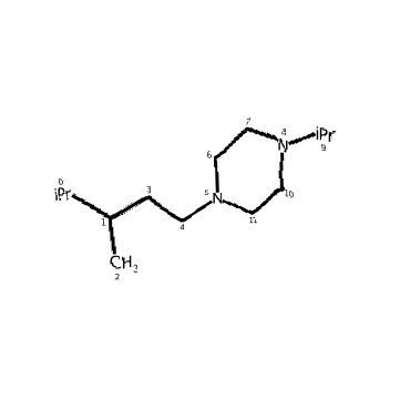 CC(C)C(C)CCN1CCN(C(C)C)CC1